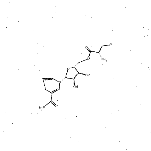 CC(C)C[C@H](N)C(=O)OC[C@H]1O[C@@H](N2C=CCC(C(N)=O)=C2)[C@H](O)[C@@H]1O